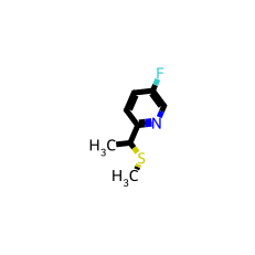 CSC(C)c1ccc(F)cn1